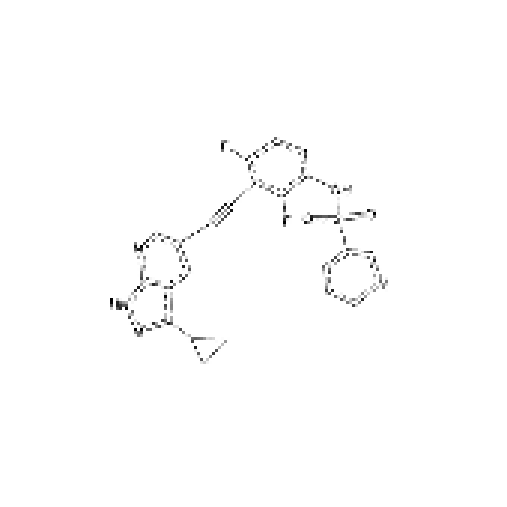 O=S(=O)(Nc1ccc(F)c(C#Cc2cnc3[nH]nc(C4CC4)c3c2)c1F)c1cccnc1